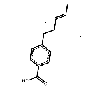 C/C=C/CCc1ccc(C(=O)O)cc1